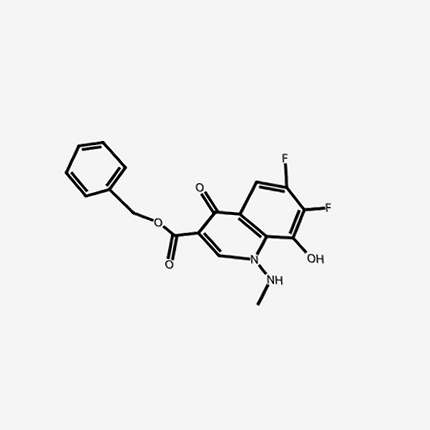 CNn1cc(C(=O)OCc2ccccc2)c(=O)c2cc(F)c(F)c(O)c21